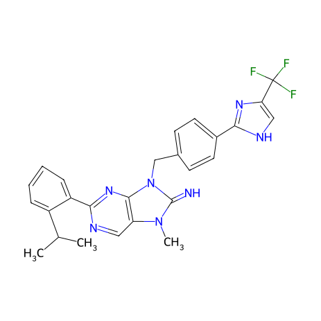 CC(C)c1ccccc1-c1ncc2c(n1)n(Cc1ccc(-c3nc(C(F)(F)F)c[nH]3)cc1)c(=N)n2C